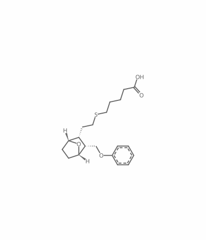 O=C(O)CCCCSCC[C@@H]1[C@H](COc2ccccc2)[C@@H]2CC[C@H]1O2